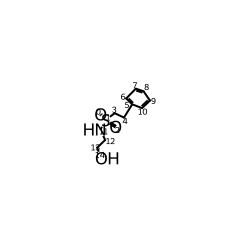 O=S(=O)(CCc1ccccc1)NCCO